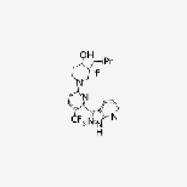 CC(C)C[C@@]1(F)CN(c2ccc(C(F)(F)F)c(-c3n[nH]c4ncccc34)n2)CCC1O